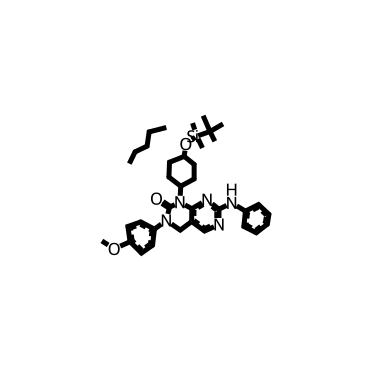 CCCCC.COc1ccc(N2Cc3cnc(Nc4ccccc4)nc3N(C3CCC(O[Si](C)(C)C(C)(C)C)CC3)C2=O)cc1